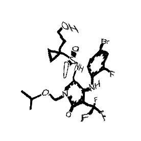 CC(C)OCn1cc(NS(=O)(=O)C2(CCO)CC2)c(Nc2ccc(Br)cc2F)c(C(F)(F)F)c1=O